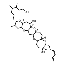 C=C/C=C\CC[C@H]1O[C@H]2CC[C@@]3(C)O[C@H]4C(O)C[C@@]5(C)O[C@@H](CCCC(C)C(C)CCO)C(C)CC5OC4CC3OC2CC[C@@]1(C)O